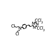 ClCCN(CCCl)c1ccc(/C=C/c2nc(C(Cl)(Cl)Cl)nc(C(Cl)(Cl)Cl)n2)cc1